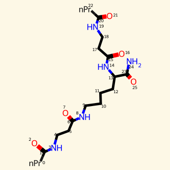 CCCC(=O)NCCC(=O)NCCCCC(NC(=O)CCNC(=O)CCC)C(N)=O